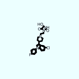 O=C1NC(O)C(=O)N1CCN1CCC(c2cn(-c3ccc(F)cc3)c3ccc(Cl)cc23)CC1